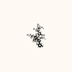 COC(C)(C)[C@H](c1nc(-c2cc(F)ccc2F)cn1CP)N(C[C@@H]1CN(C(=O)OC(C)(C)C)C[C@H]1O)C(=O)[C@H](C)OC(C)=O